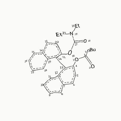 CCCCC(=O)Oc1ccc2ccccc2c1-c1c(OC(=O)N(CC)CC)ccc2ccccc12